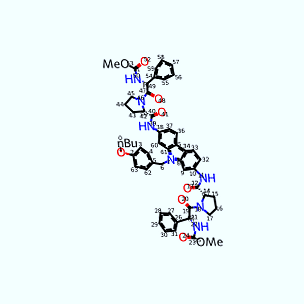 CCCCOc1ccc(Cn2c3cc(NC(=O)[C@@H]4CCCN4C(=O)[C@H](NC(=O)OC)c4ccccc4)ccc3c3ccc(NC(=O)[C@@H]4CCCN4C(=O)[C@H](NC(=O)OC)c4ccccc4)cc32)cc1